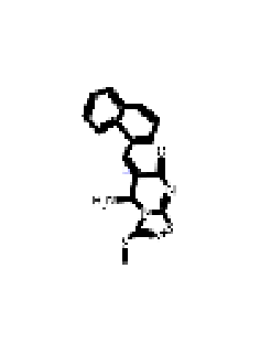 CSC1=NSC2=NC(=O)/C(=C\c3cccc4ccccc34)C(N)N12